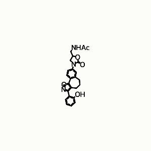 CC(=O)NCC1CN(c2ccc3c(c2)CCCc2c(-c4ccccc4O)noc2-3)C(=O)O1